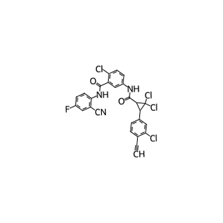 C#Cc1ccc(C2C(C(=O)Nc3ccc(Cl)c(C(=O)Nc4ccc(F)cc4C#N)c3)C2(Cl)Cl)cc1Cl